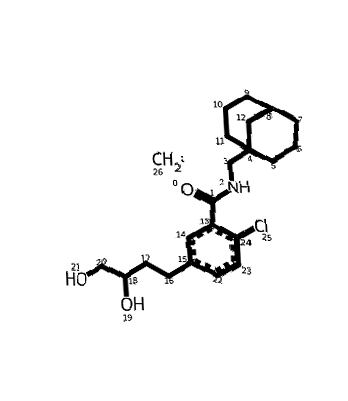 O=C(NCC12CCCC(CCC1)C2)c1cc(CCC(O)CO)ccc1Cl.[CH2]